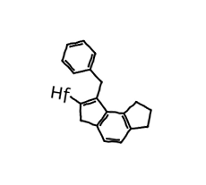 [Hf][C]1=C(Cc2ccccc2)c2c(ccc3c2CCC3)C1